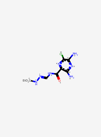 CCOC(=O)NN=CNC(=O)c1nc(Cl)c(N)nc1N